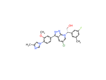 COc1cc(-c2nnc3n([C@H](CO)c4cc(C)cc(F)c4)cc(Cl)cc2-3)ccc1-n1cnc(C)c1